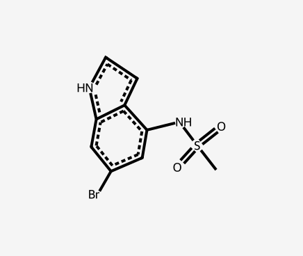 CS(=O)(=O)Nc1cc(Br)cc2[nH]ccc12